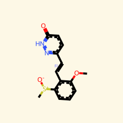 COc1cccc([S+](C)[O-])c1/C=C/c1ccc(=O)[nH]n1